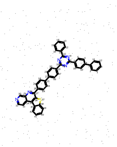 c1ccc(-c2ccc(-c3nc(-c4ccccc4)nc(-c4ccc(-c5ccc(-c6nc7cnccc7c7c6sc6ccccc67)cc5)cc4)n3)cc2)cc1